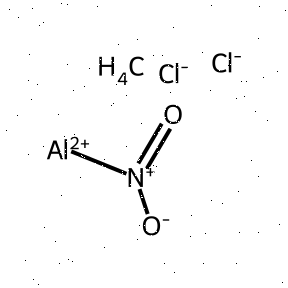 C.O=[N+]([O-])[Al+2].[Cl-].[Cl-]